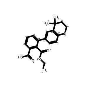 CCOC(=O)c1c(C(=O)O)cccc1-c1ccc2c(c1)C(C)(C)CCS2